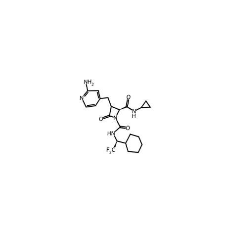 Nc1cc(CC2C(=O)N(C(=O)N[C@@H](C3CCCCC3)C(F)(F)F)[C@@H]2C(=O)NC2CC2)ccn1